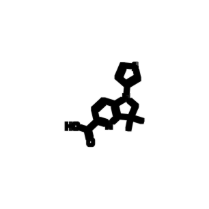 CC1(C)CN(c2ccsc2)c2ccc(C(=O)O)nc21